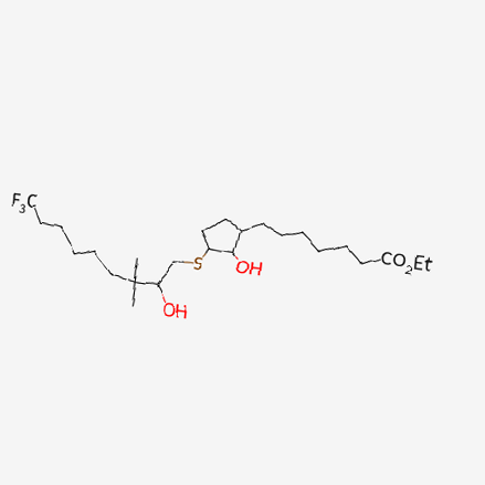 CCOC(=O)CCCCCCC1CCC(SCC(O)C(C)(C)CCCCCC(F)(F)F)C1O